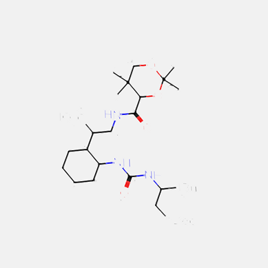 CCCCCCCCCCCC(NC(=O)NC1CCCCC1C(CNC(=O)C1OC(C)(C)OCC1(C)C)C(=O)O)C(C)(C)C